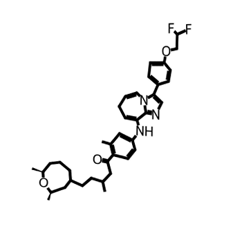 Cc1cc(NC2=CCC=Cn3c(-c4ccc(OCC(F)F)cc4)cnc32)ccc1C(=O)CC(C)CCC1CCC[C@H](C)O[C@H](C)C1